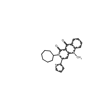 Cn1c2ccccc2c(=O)c2c(=O)n(C3CCCCCC3)c(-c3cccs3)cc21